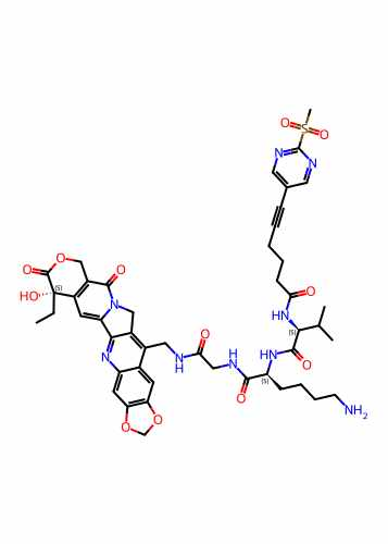 CC[C@@]1(O)C(=O)OCc2c1cc1n(c2=O)Cc2c-1nc1cc3c(cc1c2CNC(=O)CNC(=O)[C@H](CCCCN)NC(=O)[C@@H](NC(=O)CCCC#Cc1cnc(S(C)(=O)=O)nc1)C(C)C)OCO3